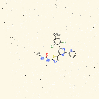 COc1cc(Cl)c(-c2cc(-c3cnc(NC(=O)NC4CC4)s3)nc(-c3ccccn3)n2)c(Cl)c1